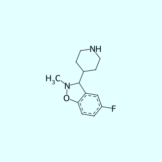 CN1Oc2ccc(F)cc2C1C1CCNCC1